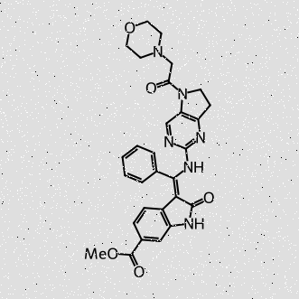 COC(=O)c1ccc2c(c1)NC(=O)/C2=C(\Nc1ncc2c(n1)CCN2C(=O)CN1CCOCC1)c1ccccc1